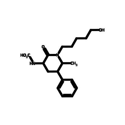 CC1C(c2ccccc2)CC(NC(=O)O)C(=O)N1CCCCCO